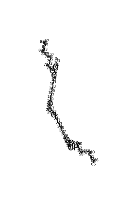 CCCCOC[C@H](COCCCCCCCCCCCCOC[C@H]1CC[C@@H](COCCCCCCCCCCCCOC[C@@H](CO)OCCC(C)CCC[C@H](C)CCC[C@H](C)CCCC(C)C)C1)OCCC(C)CCC[C@H](C)CCC[C@H](C)CCCC(C)C